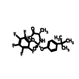 C[C@H](NP(=O)(Oc1ccc(C(C)(C)C)cc1)Oc1c(F)c(F)c(F)c(F)c1F)C(=O)O